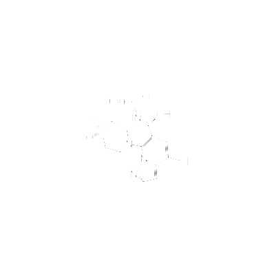 C[C@H](N[S@@+]([O-])C(C)(C)C)c1cc(Cl)c2ccnn2c1N1CCS(=O)(=O)CC1